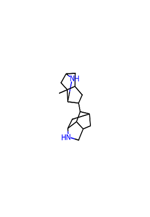 CC12CC3CC1CC(C1C4CC5CNC(C4)C51)C2N3